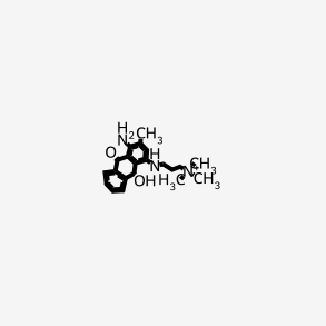 Cc1cc(NCCC[N+](C)(C)C)c2c(c1N)C(=O)c1ccccc1C2O